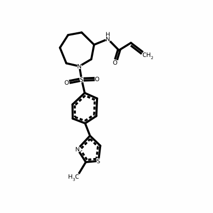 C=CC(=O)NC1CCCCN(S(=O)(=O)c2ccc(-c3csc(C)n3)cc2)C1